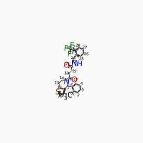 Cc1ccccc1C1c2ccsc2CCN1C(=O)CCC(=O)NCc1ccccc1C(F)(F)F